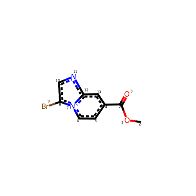 COC(=O)c1ccn2c(Br)cnc2c1